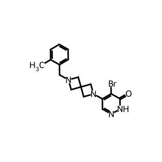 Cc1ccccc1CN1CC2(C1)CN(c1cn[nH]c(=O)c1Br)C2